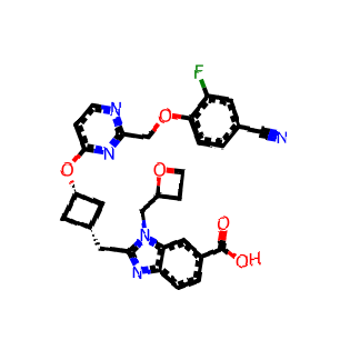 N#Cc1ccc(OCc2nccc(O[C@H]3C[C@@H](Cc4nc5ccc(C(=O)O)cc5n4CC4CCO4)C3)n2)c(F)c1